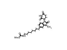 COC(=O)NCCCCCCCCc1ccc2c(c1)n(C)c(=O)n2C1CCC(=O)NC1=O